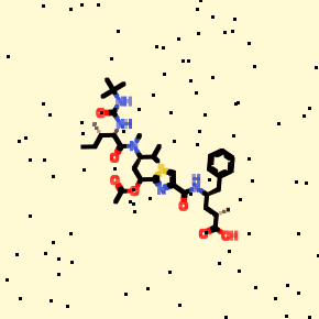 CC[C@H](C)[C@H](NC(=O)NC(C)(C)C)C(=O)N(C)[C@H](CC(OC(C)=O)c1nc(C(=O)N[C@@H](Cc2ccccc2)C[C@H](C)C(=O)O)cs1)C(C)C